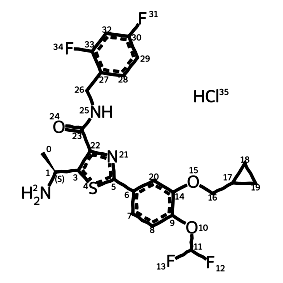 C[C@H](N)c1sc(-c2ccc(OC(F)F)c(OCC3CC3)c2)nc1C(=O)NCc1ccc(F)cc1F.Cl